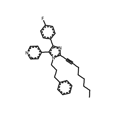 CCCCCCC#Cc1nc(-c2ccc(F)cc2)c(-c2ccncc2)n1CCCc1ccccc1